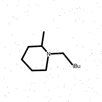 CCC(C)CN1CCCCC1C